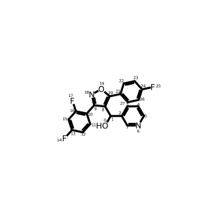 OC(c1cccnc1)c1c(-c2ccc(F)cc2F)noc1-c1ccc(F)cc1